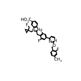 Cc1ccc(COc2nccc(-c3cc(F)c(Cc4nc5ccc(C(=O)O)cc5n4CC4(CF)CC4)c(F)c3)n2)c(F)c1